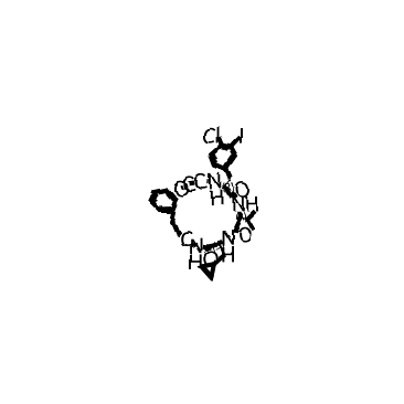 CC(C)[C@H]1NC(=O)[C@@H](Cc2ccc(Cl)c(I)c2)NCCOc2ccccc2CCCNC(=O)[C@H](CC2CC2)NC1=O